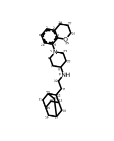 c1cc2c(c(N3CCC(NCCC4C5CC6CC(C5)CC4C6)CC3)c1)OCCC2